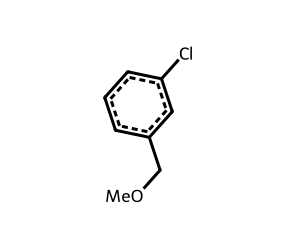 [C]OCc1cccc(Cl)c1